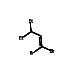 CCC(C=C(Br)Br)CC